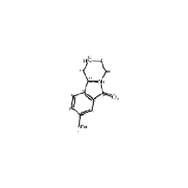 CCCCc1ccc2c(c1)C(=O)N1CCNCC21